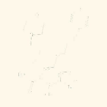 CC(=O)c1c(OCCN2CCOCC2)c(OCCCc2ccccc2)c2ocnc2c1C